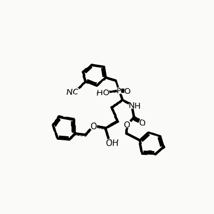 N#Cc1cccc(CP(=O)(O)C(CCC(O)OCc2ccccc2)NC(=O)OCc2ccccc2)c1